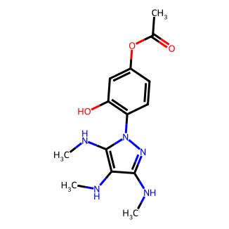 CNc1nn(-c2ccc(OC(C)=O)cc2O)c(NC)c1NC